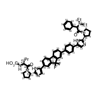 CCN(CC)C(C(=O)N1CCC[C@H]1c1ncc(-c2ccc(-c3ccc4c(c3)C(F)(F)c3cc(-c5cnc([C@@H]6CCCN6C(=O)[C@@H](NC(=O)O)C(C)C)[nH]5)ccc3-4)cc2)[nH]1)c1ccccc1